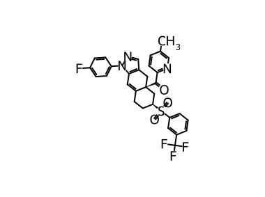 Cc1ccc(C(=O)[C@]23Cc4cnn(-c5ccc(F)cc5)c4C=C2CC[C@H](S(=O)(=O)c2cccc(C(F)(F)F)c2)C3)nc1